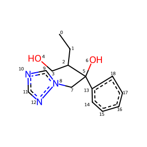 CCC(CO)C(O)(Cn1cncn1)c1ccccc1